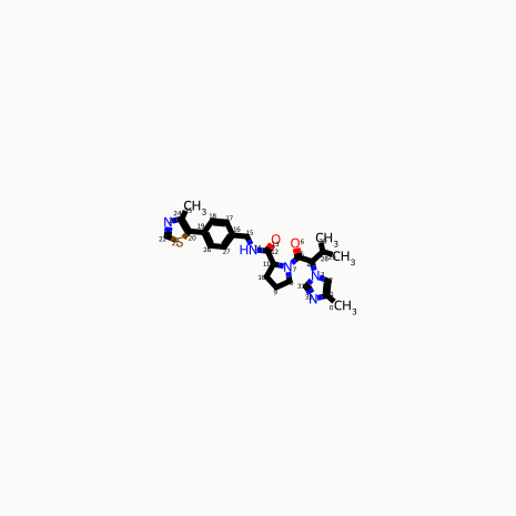 Cc1cn(C(C(=O)N2CCCC2C(=O)NCc2ccc(-c3scnc3C)cc2)C(C)C)cn1